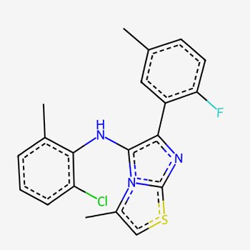 Cc1ccc(F)c(-c2nc3scc(C)n3c2Nc2c(C)cccc2Cl)c1